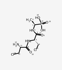 C[C@H](NC(=O)[C@H](CCl)NC(=O)[C@@H](N)CCl)P(=O)(O)O